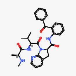 CN[C@@H](C)C(=O)N[C@H](C(=O)N1c2ncccc2CC1C(=O)Nc1ccccc1C(=O)c1ccccc1)C(C)C